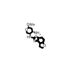 CO[C@H]1C[C@@H](N)[C@@H](Nc2nc3c4c(ccc3s2)OCC4)CO1